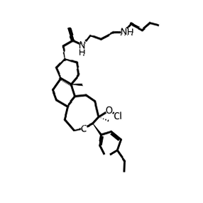 C=C(C[C@H]1CC[C@@]2(C)C(CCC3CCC[C@H](C(/C=C\C(C)CC)=C/C)[C@](C)(OCl)CCC32)C1)NCCCNCCCC